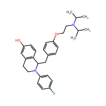 CC(C)N(CCOc1ccc(CC2c3ccc(O)cc3CCN2c2ccc(F)cc2)cc1)C(C)C